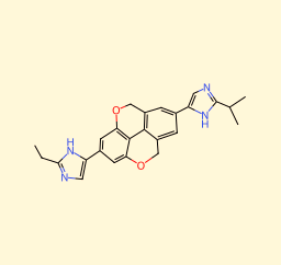 CCc1ncc(-c2cc3c4c(c2)OCc2cc(-c5cnc(C(C)C)[nH]5)cc(c2-4)CO3)[nH]1